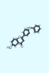 O=c1cc(-c2ccc(Nc3ccccc3)cc2)oc2ccc(O)cc12